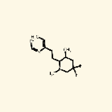 C/C=C(CCC1C(C)CC(F)(F)CN1C)\N=C/CC